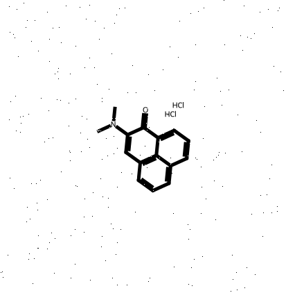 CN(C)C1=Cc2cccc3cccc(c23)C1=O.Cl.Cl